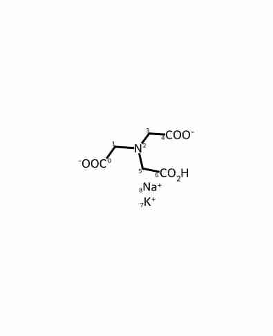 O=C([O-])CN(CC(=O)[O-])CC(=O)O.[K+].[Na+]